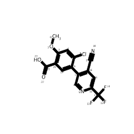 COc1cc(Cl)c(-c2cnc(C(F)(F)F)cc2C#N)cc1C(=O)O